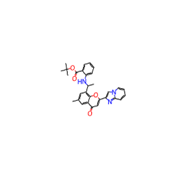 Cc1cc(C(C)Nc2ccccc2C(=O)OC(C)(C)C)c2oc(-c3cn4ccccc4n3)cc(=O)c2c1